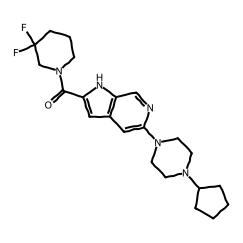 O=C(c1cc2cc(N3CCN(C4CCCC4)CC3)ncc2[nH]1)N1CCCC(F)(F)C1